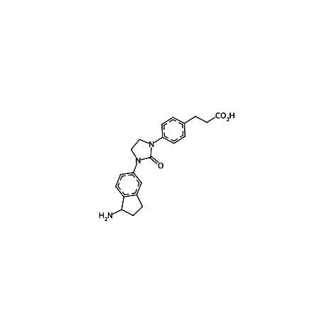 NC1CCc2cc(N3CCN(c4ccc(CCC(=O)O)cc4)C3=O)ccc21